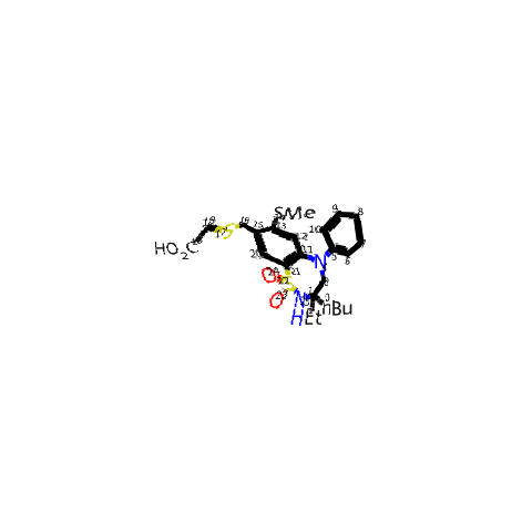 CCCCC1(CC)CN(c2ccccc2)c2cc(SC)c(CSCC(=O)O)cc2S(=O)(=O)N1